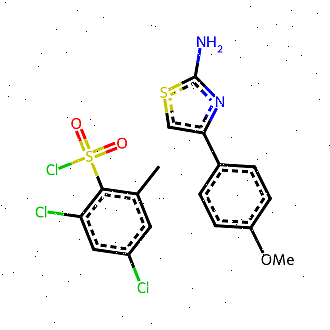 COc1ccc(-c2csc(N)n2)cc1.Cc1cc(Cl)cc(Cl)c1S(=O)(=O)Cl